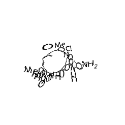 COc1cc2cc(c1Cl)N(C)C(=O)C[C@H](OC(=O)Nc1ccc(N)cc1C)[C@]1(C)O[C@H]1[C@H](C)[C@@H]1C[C@@](O)(NC(=O)O1)[C@H](OC)/C=C/C=C(\C)C2